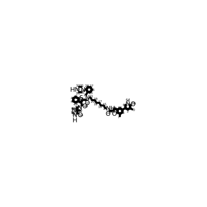 Cc1cc(-c2cc(C)c3oc(C(=O)NCCCCCCCCN(Cc4ccccc4N4CCNCC4)C(=O)c4sc5ccccc5c4C(=O)N4CC5(C4)C(=O)NCN5C)cc3c2)cn(C)c1=O